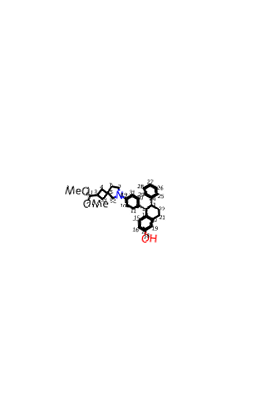 COC(OC)C1CC2(CCN(c3ccc([C@@H]4c5ccc(O)cc5CC[C@@H]4c4ccccc4)cc3)C2)C1